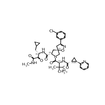 CNC(=O)C(=O)[C@H](CC1CC1)NC(=O)[C@@H]1C[C@]2(CC(c3cccc(Cl)c3)=NO2)CN1C(=O)[C@@H](NC(=O)[C@@H]1C[C@H]1c1ccccn1)C(C)(C)C